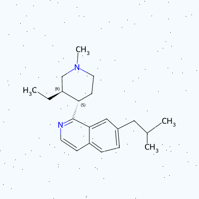 CC[C@H]1CN(C)CC[C@@H]1c1nccc2ccc(CC(C)C)cc12